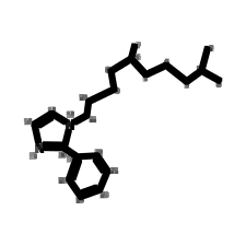 CC(C)CCCC(C)CCCCn1ccnc1-c1ccccc1